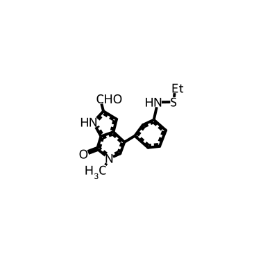 CCSNc1cccc(-c2cn(C)c(=O)c3[nH]c(C=O)cc23)c1